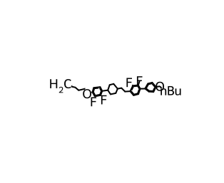 C=CCCCOc1ccc(C2CCC(CCc3ccc(-c4ccc(OCCCC)cc4)c(F)c3F)CC2)c(F)c1F